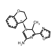 CC1C(c2ncco2)=NC(N)=CN1[C@@H]1CCOc2ccccc21